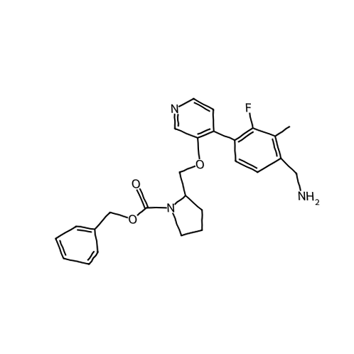 Cc1c(CN)ccc(-c2ccncc2OCC2CCCN2C(=O)OCc2ccccc2)c1F